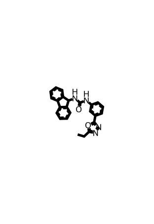 CCc1nnc(-c2cccc(NC(=O)NC3c4ccccc4-c4ccccc43)c2)o1